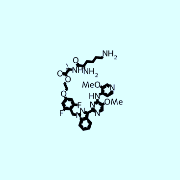 COc1cnccc1Nc1nc(-c2nn(Cc3c(F)cc(OCCOC(=O)[C@H](C)NC(=O)[C@@H](N)CCCCN)cc3F)c3ccccc23)ncc1OC